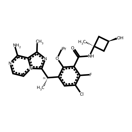 Cc1nc([C@@H](C)c2cc(Cl)c(F)c(C(=O)N[C@]3(C)C[C@H](O)C3)c2OC(C)C)n2ccnc(N)c12